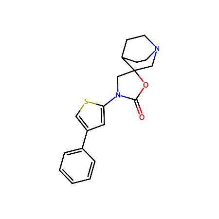 O=C1OC2(CN3CCC2CC3)CN1c1cc(-c2ccccc2)cs1